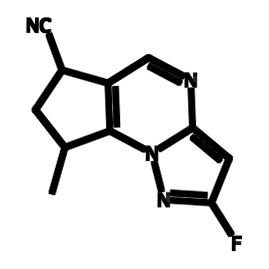 CC1CC(C#N)c2cnc3cc(F)nn3c21